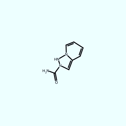 NC(=O)N1C=C2C=CC=CN2N1